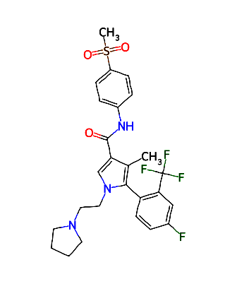 Cc1c(C(=O)Nc2ccc(S(C)(=O)=O)cc2)cn(CCN2CCCC2)c1-c1ccc(F)cc1C(F)(F)F